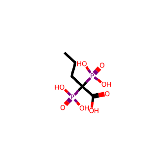 CCCC(C(=O)O)(P(=O)(O)O)P(=O)(O)O